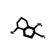 N#CC1CCCc2c1ccc(N)c2N